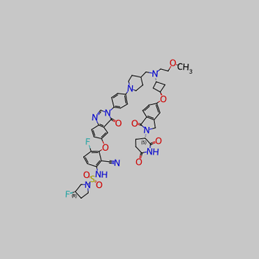 COCCN(CC1CCN(c2ccc(-n3cnc4ccc(Oc5c(F)ccc(NS(=O)(=O)N6CC[C@@H](F)C6)c5C#N)cc4c3=O)cc2)CC1)[C@H]1C[C@H](Oc2ccc3c(c2)CN([C@H]2CCC(=O)NC2=O)C3=O)C1